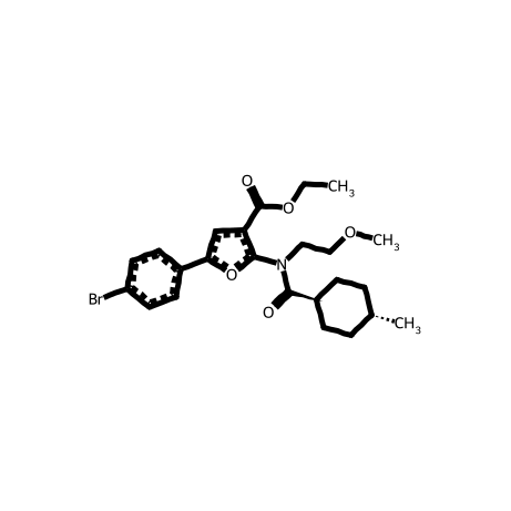 CCOC(=O)c1cc(-c2ccc(Br)cc2)oc1N(CCOC)C(=O)[C@H]1CC[C@H](C)CC1